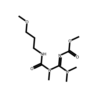 COCCCNC(=O)N(C)C(=NC(=O)OC)N(C)C